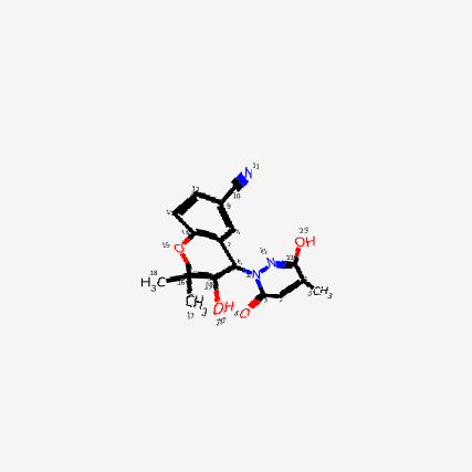 Cc1cc(=O)n(C2c3cc(C#N)ccc3OC(C)(C)C2O)nc1O